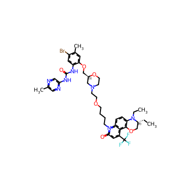 CC[C@@H]1COc2c(ccc3c2c(C(F)(F)F)cc(=O)n3CCCCOCCN2CCO[C@H](COc3cc(C)c(Br)cc3NC(=O)Nc3cnc(C)cn3)C2)N1CC